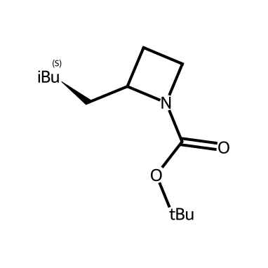 CC[C@H](C)CC1CCN1C(=O)OC(C)(C)C